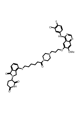 COc1cc2ncnc(Nc3ccc(F)c(Cl)c3)c2cc1OCCCN1CCN(C(=O)CCCCCSc2cccc3c2CN(C2CCC(=O)NC2=O)C3=O)CC1